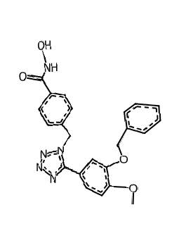 COc1ccc(-c2nnnn2Cc2ccc(C(=O)NO)cc2)cc1OCc1ccccc1